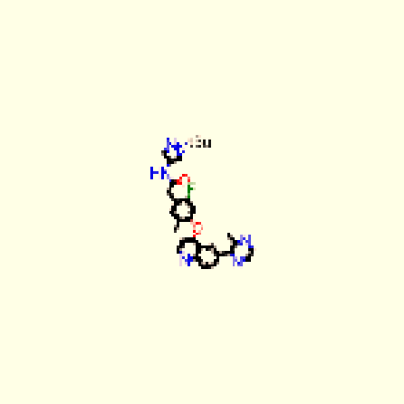 Cc1cc(CC(=O)Nc2cnn(C(C)(C)C)c2)c(F)cc1Oc1ccnc2ccc(-c3nccnc3C)cc12